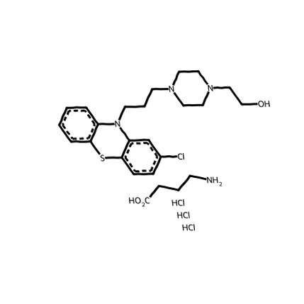 Cl.Cl.Cl.NCCCC(=O)O.OCCN1CCN(CCCN2c3ccccc3Sc3ccc(Cl)cc32)CC1